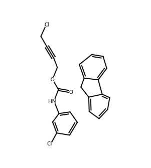 O=C(Nc1cccc(Cl)c1)OCC#CCCl.c1ccc2c(c1)Cc1ccccc1-2